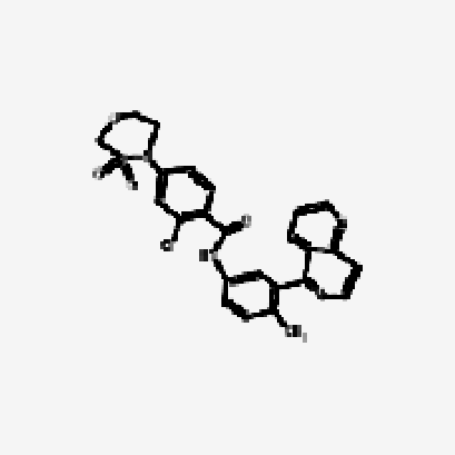 Cc1ccc(NC(=O)c2ccc(N3CCOCS3(=O)=O)cc2Cl)cc1-c1nccc2ncccc12